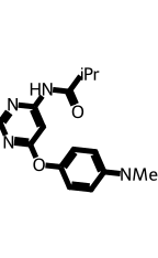 CNc1ccc(Oc2cc(NC(=O)C(C)C)ncn2)cc1